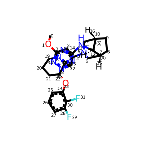 COc1cc(N2C[C@H]3CC[C@@H](C2)[C@@H]3Nc2nc3n(n2)CCC[C@H]3Oc2cccc(F)c2F)cnn1